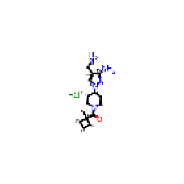 CC1(C(=O)N2CCC(n3cc(CN)c(N)n3)CC2)CCC1.Cl